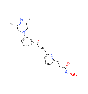 C[C@@H]1CN(c2cccc(C(=O)/C=C/c3cccc(/C=C/C(=O)NO)n3)c2)C[C@H](C)N1